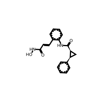 O=C(/C=C/c1ccccc1NC(=O)[C@H]1C[C@H]1c1ccccc1)NO